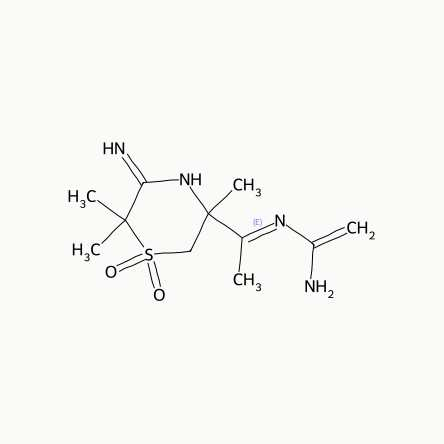 C=C(N)/N=C(\C)C1(C)CS(=O)(=O)C(C)(C)C(=N)N1